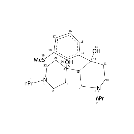 CCCN1CCC(O)(C2CN(CCC)CCC2(O)c2cccc(SC)c2)CC1